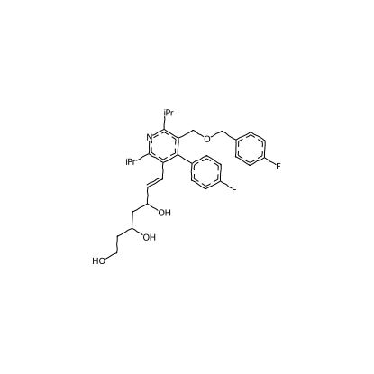 CC(C)c1nc(C(C)C)c(COCc2ccc(F)cc2)c(-c2ccc(F)cc2)c1C=CC(O)CC(O)CCO